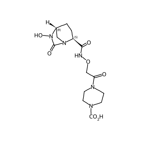 O=C(NOCC(=O)N1CCN(C(=O)O)CC1)[C@@H]1CC[C@@H]2CN1C(=O)N2O